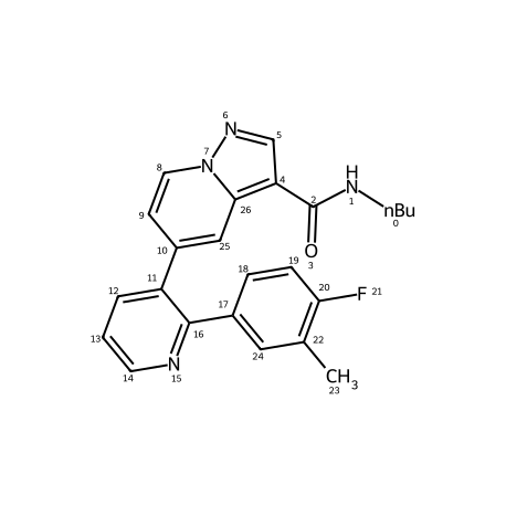 CCCCNC(=O)c1cnn2ccc(-c3cccnc3-c3ccc(F)c(C)c3)cc12